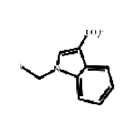 O=C(O)c1cn(CI)c2ccccc12